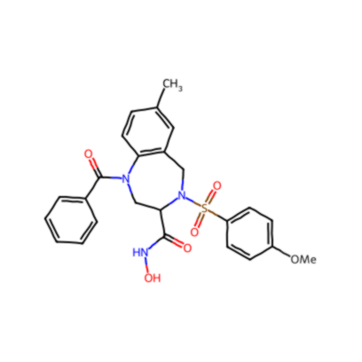 COc1ccc(S(=O)(=O)N2Cc3cc(C)ccc3N(C(=O)c3ccccc3)CC2C(=O)NO)cc1